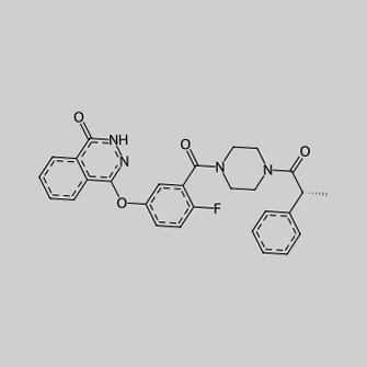 C[C@@H](C(=O)N1CCN(C(=O)c2cc(Oc3n[nH]c(=O)c4ccccc34)ccc2F)CC1)c1ccccc1